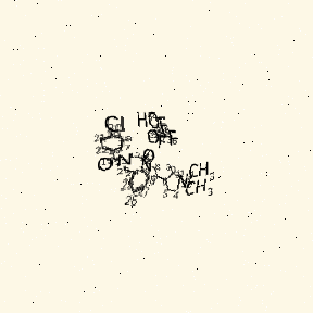 CC(C)N1CCC(CCN2C(=O)CN(C(=O)c3ccc(Cl)cc3)Cc3ccccc32)CC1.O=C(O)C(F)(F)F